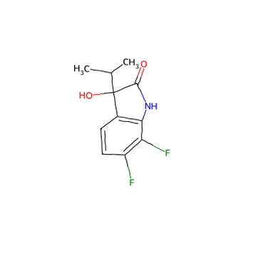 CC(C)C1(O)C(=O)Nc2c1ccc(F)c2F